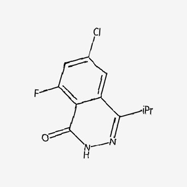 CC(C)c1n[nH]c(=O)c2c(F)cc(Cl)cc12